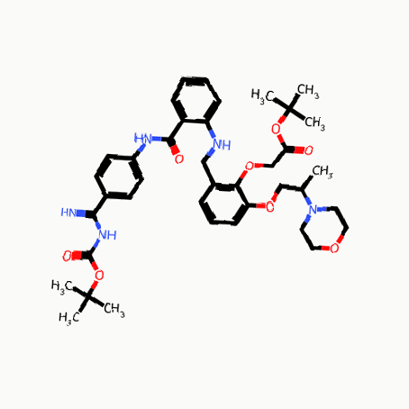 CC(COc1cccc(CNc2ccccc2C(=O)Nc2ccc(C(=N)NC(=O)OC(C)(C)C)cc2)c1OCC(=O)OC(C)(C)C)N1CCOCC1